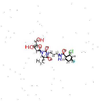 Cc1cn([C@H]2C[C@H](O)[C@@H](CO)O2)c(=O)n(CCCNC(=O)c2ccc(F)cc2Cl)c1=O